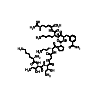 N=C(N)NCC/C=C(\NC(=O)[C@H](CCCCN)NC(=O)C(Cc1cccc(C(N)=O)c1)NC(=O)[C@@H]1CCCN1C(=O)[C@@H](CCCN)NC(=O)CNC(=O)[C@@H](NC(=O)[C@@H](NC(=O)[C@@H](N)CCCCN)[C@@H](O)CN)[C@@H](O)CN)C(=O)O